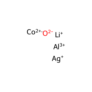 [Ag+].[Al+3].[Co+2].[Li+].[O-2]